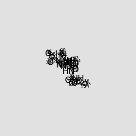 COC(=O)[C@H](CCNC(=O)[C@H]1O[C@@H](n2cc(-c3ccn(C)n3)c3c(NCc4ccc(OC)cc4OC)ncnc32)[C@@H]2OC(C)(C)O[C@@H]21)NC(=O)OCc1ccccc1